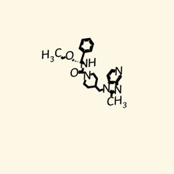 CCOC[C@@H](NC(=O)N1CCC(Cn2c(C)nc3cnccc32)CC1)c1ccccc1